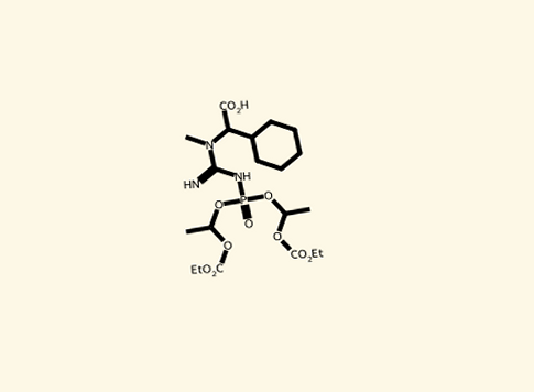 CCOC(=O)OC(C)OP(=O)(NC(=N)N(C)C(C(=O)O)C1CCCCC1)OC(C)OC(=O)OCC